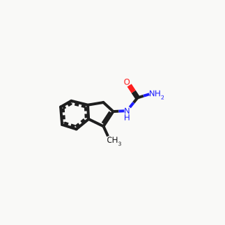 CC1=C(NC(N)=O)Cc2ccccc21